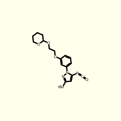 CC(C)(C)c1cc(N=C=O)n(-c2cccc(OCCOC3CCCCO3)c2)n1